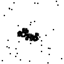 CCc1cccc2nc(C(=O)NC3CCn4nccc4N(C)C3=O)nn12